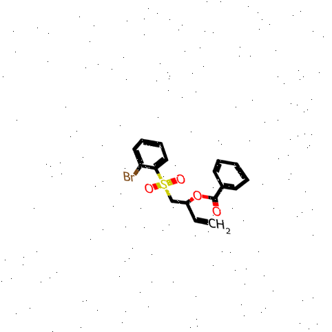 C=CC(CS(=O)(=O)c1ccccc1Br)OC(=O)c1ccccc1